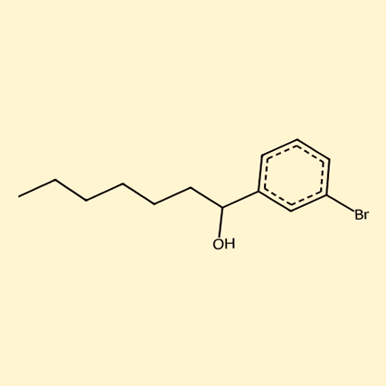 CCCCCCC(O)c1cccc(Br)c1